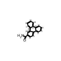 NC(=O)c1ccc2c3ccccc3c3ccccc3c2c1